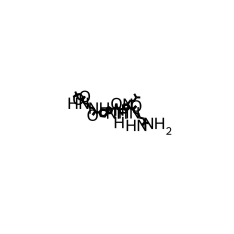 CC(C)CCn1cc(NC(=O)c2cc3cc(C(=O)NCCNC(=O)OC(C)(C)C)ccc3[nH]2)cc1C(=O)NCCCC(=N)N